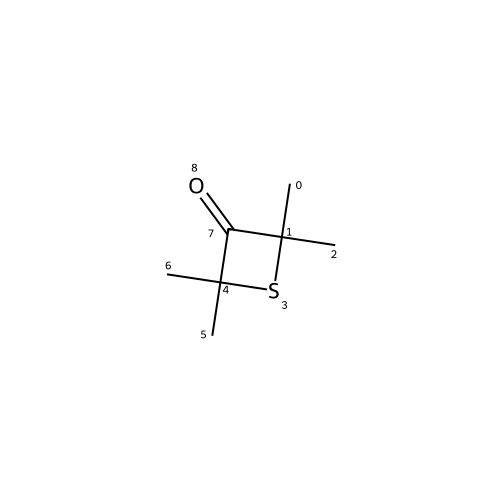 CC1(C)SC(C)(C)C1=O